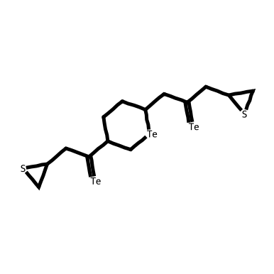 [Te]=C(CC1CS1)CC1CCC(C(=[Te])CC2CS2)C[Te]1